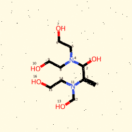 C=C(C(O)N(CCO)CCO)N(CO)CCO